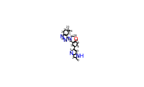 Cc1cc2ncc(-c3ccc4c(c3)CN(c3ncnc5c3CC(C)(C)CC5)CCO4)cc2[nH]1